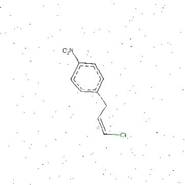 O=[N+]([O-])c1ccc(C/C=C\Cl)cc1